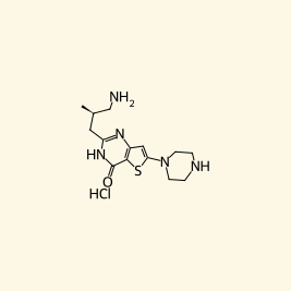 C[C@@H](CN)Cc1nc2cc(N3CCNCC3)sc2c(=O)[nH]1.Cl